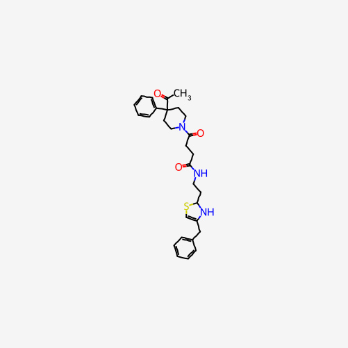 CC(=O)C1(c2ccccc2)CCN(C(=O)CCC(=O)NCCC2NC(Cc3ccccc3)=CS2)CC1